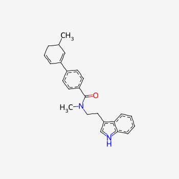 CC1C=C(c2ccc(C(=O)N(C)CCc3c[nH]c4ccccc34)cc2)C=CC1